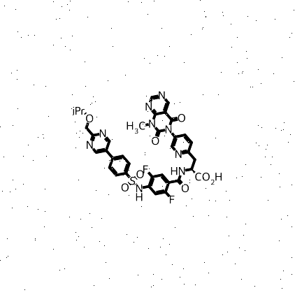 CC(C)OCc1ncc(-c2ccc(S(=O)(=O)Nc3cc(F)c(C(=O)N[C@@H](Cc4ccc(-n5c(=O)c6cncnc6n(C)c5=O)cn4)C(=O)O)cc3F)cc2)cn1